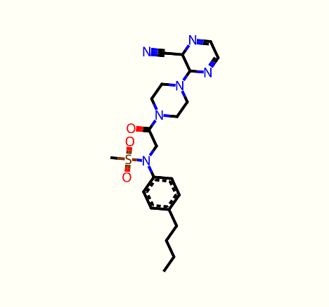 CCCCc1ccc(N(CC(=O)N2CCN(C3N=CC=NC3C#N)CC2)S(C)(=O)=O)cc1